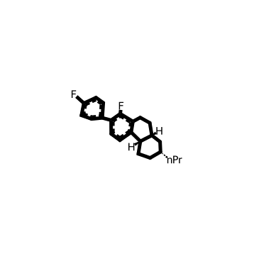 CCC[C@@H]1CC[C@@H]2c3ccc(-c4ccc(F)cc4)c(F)c3CC[C@@H]2C1